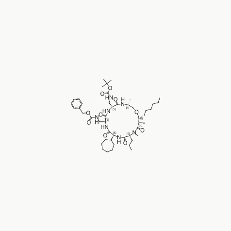 CCCCCC[C@H]1OC[C@@H](C)NC(=O)[C@H](CNC(=O)OC(C)(C)C)NC(=O)[C@H](CNC(=O)OCc2ccccc2)NC(=O)[C@H](C2CCCCCC2)NC(=O)[C@H](CCC)N(C)C(=O)[C@@H]1C